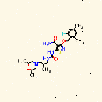 Cc1cc(C)c(COc2nsc(NC(=O)NCC(C)CN3CC(C)OC(C)C3)c2C(N)=O)c(F)c1